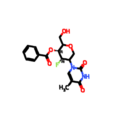 Cc1cn(C2COC(CO)[C@@H](OC(=O)c3ccccc3)[C@H]2F)c(=O)[nH]c1=O